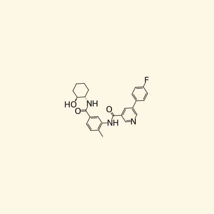 Cc1ccc(C(=O)N[C@H]2CCCC[C@@H]2O)cc1NC(=O)c1cncc(-c2ccc(F)cc2)c1